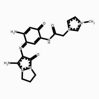 C[n+]1ccn(CC(=O)NC2=C/C(=N\c3c(N)n4n(c3=O)CCC4)C(N)=CC2=O)c1